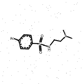 CC(=O)c1ccc(S(=O)(=O)NCCN(C)C)cc1